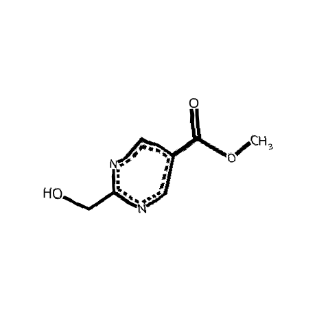 COC(=O)c1cnc(CO)nc1